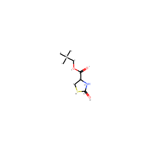 C[Si](C)(C)COC(=O)C1CSC(=O)N1